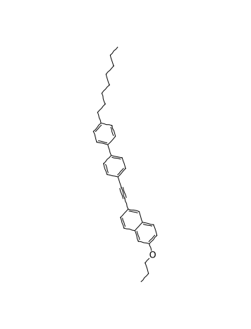 CCCCCCCCc1ccc(-c2ccc(C#Cc3ccc4cc(OCCC)ccc4c3)cc2)cc1